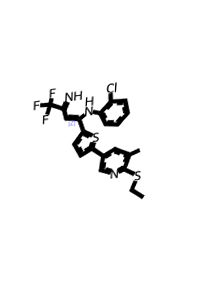 CCSc1ncc(-c2ccc(/C(=C/C(=N)C(F)(F)F)Nc3ccccc3Cl)s2)cc1C